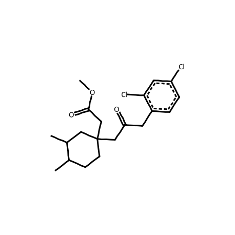 COC(=O)CC1(CC(=O)Cc2ccc(Cl)cc2Cl)CCC(C)C(C)C1